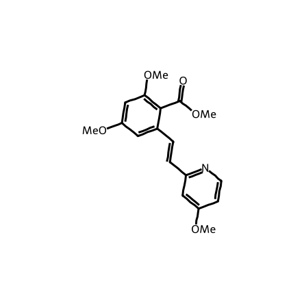 COC(=O)c1c(C=Cc2cc(OC)ccn2)cc(OC)cc1OC